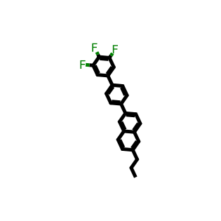 CCCc1ccc2cc(-c3ccc(-c4cc(F)c(F)c(F)c4)cc3)ccc2c1